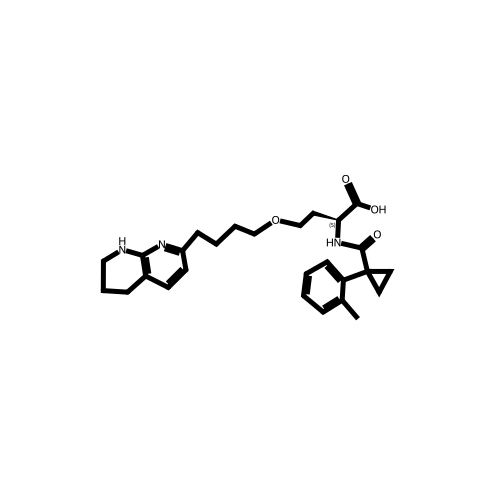 Cc1ccccc1C1(C(=O)N[C@@H](CCOCCCCc2ccc3c(n2)NCCC3)C(=O)O)CC1